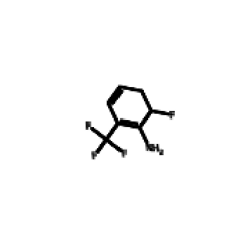 NC1=C(C(F)(F)F)C=CCC1F